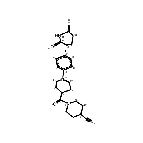 N#CC1CCN(C(=O)C2CCN(c3ccc([C@H]4CCC(=O)NC4=O)cc3)CC2)CC1